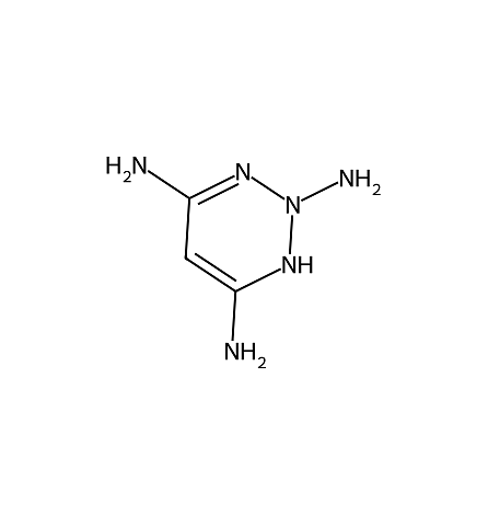 NC1=CC(N)=NN(N)N1